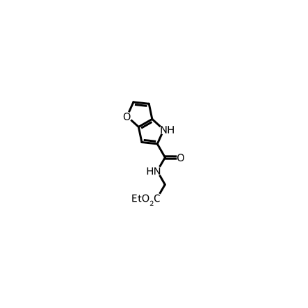 CCOC(=O)CNC(=O)c1cc2occc2[nH]1